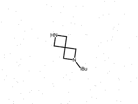 CCC(C)N1CC2(CNC2)C1